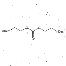 CCCCCCCCCCCCOC(=S)OCCCCCCCCCCCC